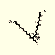 CCCCCCCCC=CCCCCCCCCC(CN(C)C)C(O)(O)CCCCCCCCC=CCCCCCCCC